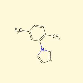 FC(F)(F)c1ccc(C(F)(F)F)c(-n2c[c]cc2)c1